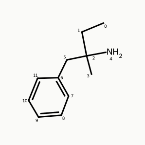 CCC(C)(N)Cc1ccccc1